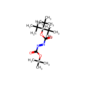 CC(C)(C)[Si](OC(=O)/N=N/C(=O)O[Si](C)(C)C)(C(C)(C)C)C(C)(C)C